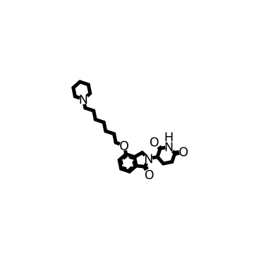 O=C1CCC(N2Cc3c(OCCCCCCCN4CCCCC4)cccc3C2=O)C(=O)N1